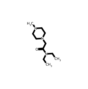 CCN(CC)C(=O)CN1CCN(C)CC1